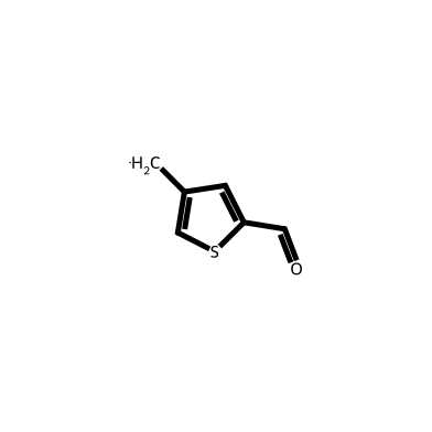 [CH2]c1csc(C=O)c1